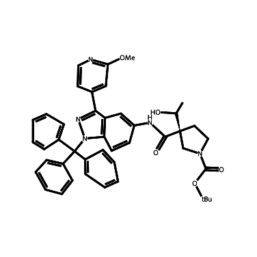 COc1cc(-c2nn(C(c3ccccc3)(c3ccccc3)c3ccccc3)c3ccc(NC(=O)[C@]4(C(C)O)CCN(C(=O)OC(C)(C)C)C4)cc23)ccn1